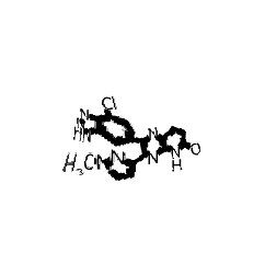 Cn1ccc(-c2nc3[nH]c(=O)ccc3nc2-c2cc(Cl)c3nn[nH]c3c2)n1